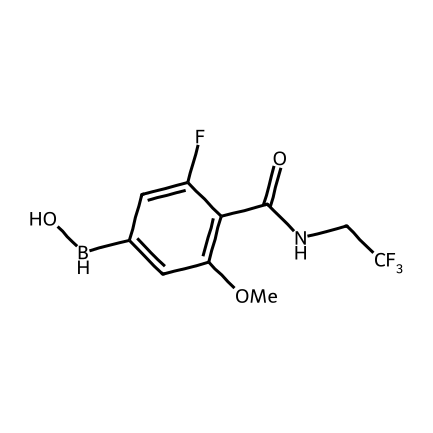 COc1cc(BO)cc(F)c1C(=O)NCC(F)(F)F